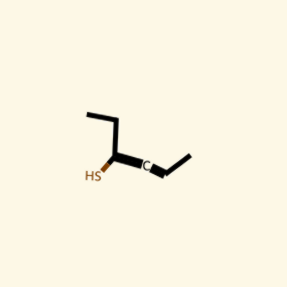 CC=C=C(S)CC